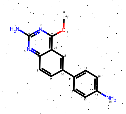 CC(C)Oc1nc(N)nc2ccc(-c3ccc(N)cc3)cc12